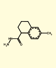 Cc1ccc2c(c1)CCCC2C(=O)NN